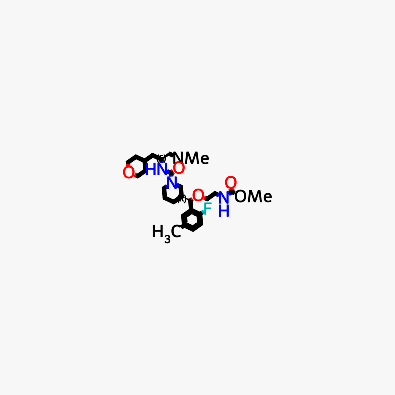 CNC[C@H](CC1CCOCC1)NC(=O)N1CCC[C@@H](C(OCCNC(=O)OC)c2cc(C)ccc2F)C1